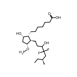 CC[C@H](C)CC(F)(F)C(O)CC[C@@H]1[C@@H](CCCCCCC(=O)O)[C@@H](O)C[C@H]1OP